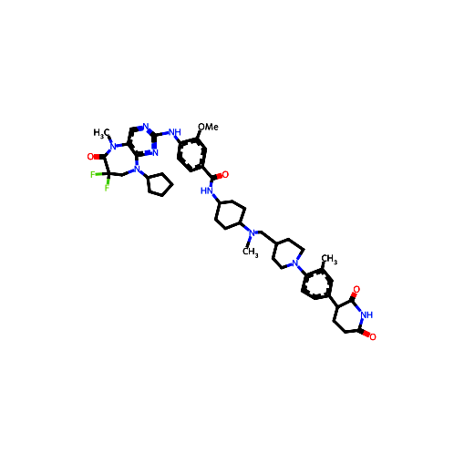 COc1cc(C(=O)NC2CCC(N(C)CC3CCN(c4ccc(C5CCC(=O)NC5=O)cc4C)CC3)CC2)ccc1Nc1ncc2c(n1)N(C1CCCC1)CC(F)(F)C(=O)N2C